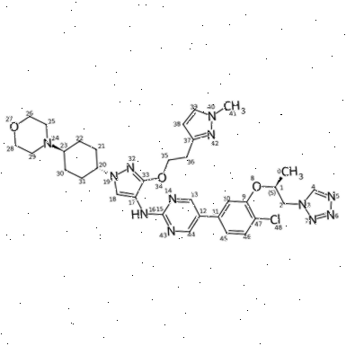 C[C@@H](Cn1cnnn1)Oc1cc(-c2cnc(Nc3cn([C@H]4CC[C@H](N5CCOCC5)CC4)nc3OCCc3ccn(C)n3)nc2)ccc1Cl